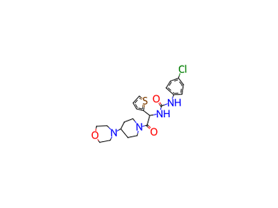 O=C(Nc1ccc(Cl)cc1)NC(C(=O)N1CCC(N2CCOCC2)CC1)c1cccs1